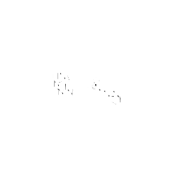 Cc1ccc(N2CCN(S(=O)(=O)CC3CCC(N(C)c4ncnc5[nH]ccc45)CC3)CC2)nc1